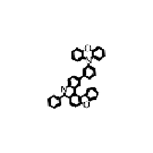 c1ccc(-c2nc3ccc(-c4cccc(N5c6ccccc6Oc6ccccc65)c4)cc3c3c2ccc2oc4ccccc4c23)cc1